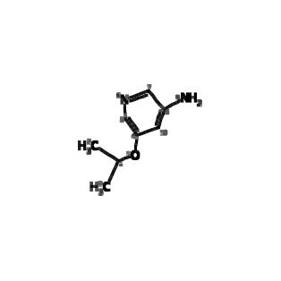 CC(C)Oc1cncc(N)c1